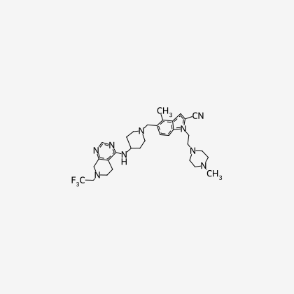 Cc1c(CN2CCC(Nc3ncnc4c3CCN(CC(F)(F)F)C4)CC2)ccc2c1cc(C#N)n2CCN1CCN(C)CC1